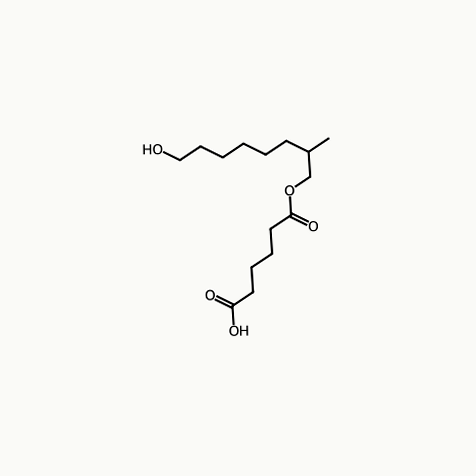 CC(CCCCCCO)COC(=O)CCCCC(=O)O